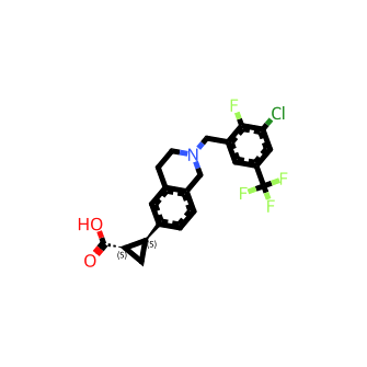 O=C(O)[C@H]1C[C@@H]1c1ccc2c(c1)CCN(Cc1cc(C(F)(F)F)cc(Cl)c1F)C2